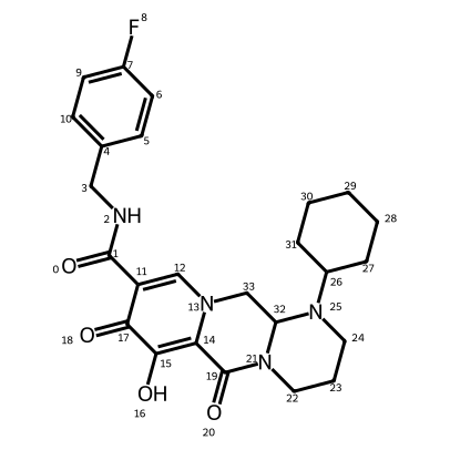 O=C(NCc1ccc(F)cc1)c1cn2c(c(O)c1=O)C(=O)N1CCCN(C3CCCCC3)C1C2